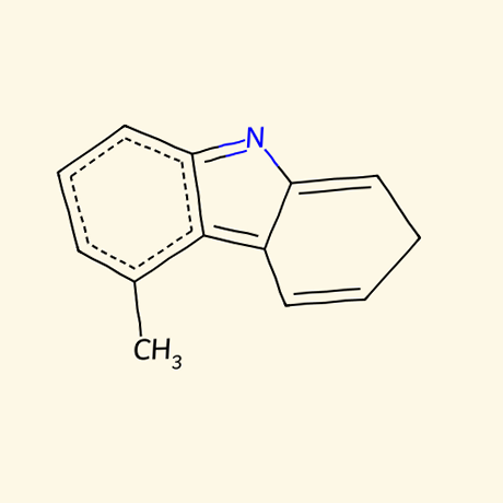 Cc1cccc2c1=C1C=CCC=C1N=2